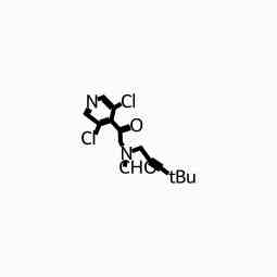 CC(C)(C)C#CCN(C=O)CC(=O)c1c(Cl)cncc1Cl